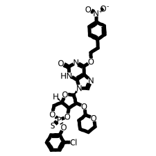 O=c1nc(OCCc2ccc([N+](=O)[O-])cc2)c2ncn([C@@H]3O[C@@H]4COP(=S)(Oc5ccccc5Cl)OC4C3OC3CCCCO3)c2[nH]1